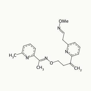 C=C(CCO/N=C(\C)c1cccc(C)n1)c1cccc(C/C=N/OC)n1